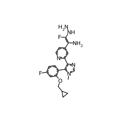 Cn1cnc(-c2cc(/C(N)=C(\F)NN)ccn2)c1-c1ccc(F)cc1OCC1CC1